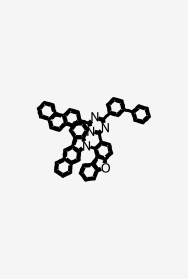 c1ccc(-c2cccc(-c3nc(-c4ccc5c(ccc6ccccc65)c4)nc(-c4ccc5oc6ccccc6c5c4-n4c5ccccc5c5cc6ccccc6cc54)n3)c2)cc1